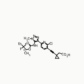 CCC(F)(F)[C@@H](C)OC(=O)Nc1c(-c2ccc(C#CC3(CC(=O)O)CC3)c(Cl)n2)nnn1C